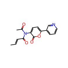 C/C=C/C(=O)N(C(C)=O)c1ccc(-c2cccnc2)oc1=O